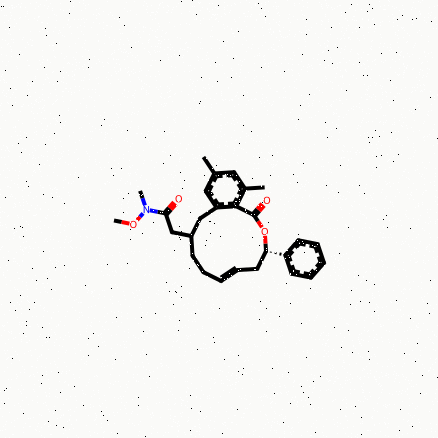 CON(C)C(=O)CC1CC/C=C/C[C@@H](c2ccccc2)OC(=O)c2c(C)cc(C)cc2C1